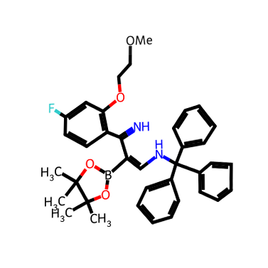 COCCOc1cc(F)ccc1C(=N)/C(=C\NC(c1ccccc1)(c1ccccc1)c1ccccc1)B1OC(C)(C)C(C)(C)O1